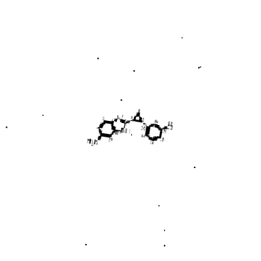 Nc1ccc2nc([C@H]3C[C@@H]3c3cccc(Cl)c3)[nH]c2c1